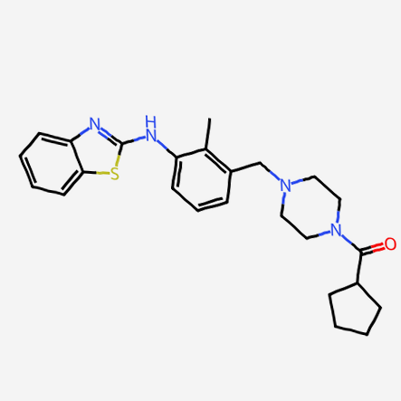 Cc1c(CN2CCN(C(=O)C3CCCC3)CC2)cccc1Nc1nc2ccccc2s1